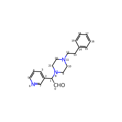 O=CC(c1cccnc1)N1CCN(CCc2ccccc2)CC1